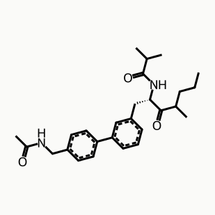 CCCC(C)C(=O)[C@H](Cc1cccc(-c2ccc(CNC(C)=O)cc2)c1)NC(=O)C(C)C